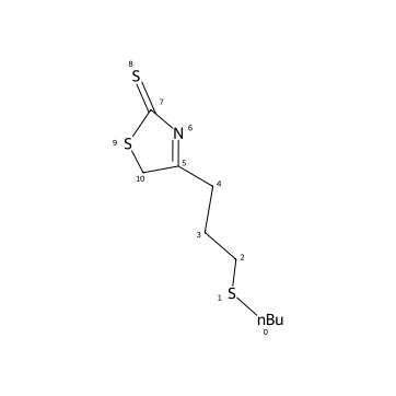 CCCCSCCCC1=NC(=S)SC1